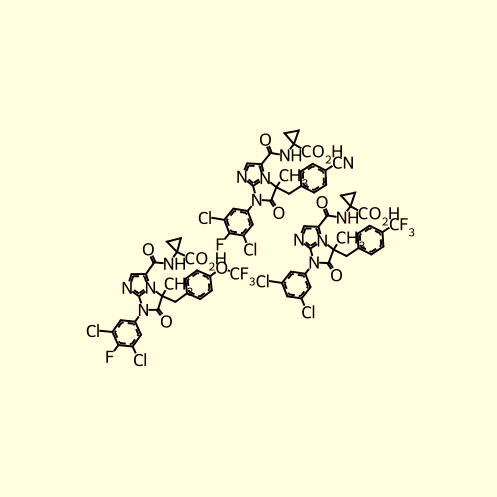 CC1(Cc2ccc(C#N)cc2)C(=O)N(c2cc(Cl)c(F)c(Cl)c2)c2ncc(C(=O)NC3(C(=O)O)CC3)n21.CC1(Cc2ccc(C(F)(F)F)cc2)C(=O)N(c2cc(Cl)cc(Cl)c2)c2ncc(C(=O)NC3(C(=O)O)CC3)n21.CC1(Cc2ccc(OC(F)(F)F)cc2)C(=O)N(c2cc(Cl)c(F)c(Cl)c2)c2ncc(C(=O)NC3(C(=O)O)CC3)n21